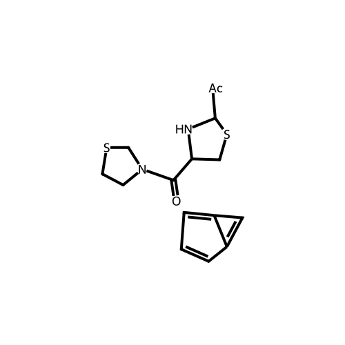 CC(=O)C1NC(C(=O)N2CCSC2)CS1.c1cc2cc-2c1